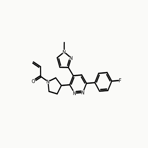 C=CC(=O)N1CCC(c2nnc(-c3ccc(F)cc3)cc2-c2ccn(C)n2)C1